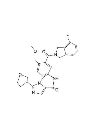 COCc1cc2c(cc1C(=O)N1Cc3cccc(F)c3C1)[nH]c(=O)c1cnc(C3CCOC3)n12